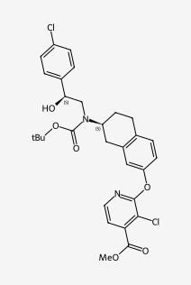 COC(=O)c1ccnc(Oc2ccc3c(c2)C[C@@H](N(C[C@@H](O)c2ccc(Cl)cc2)C(=O)OC(C)(C)C)CC3)c1Cl